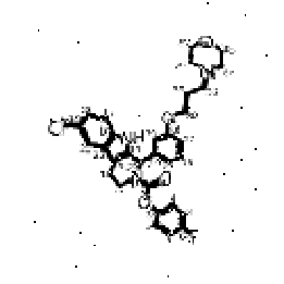 O=C(Oc1ccc(F)cc1)N1CCc2c([nH]c3ccc(Cl)cc23)C1c1cccc(OCCCN2CCOCC2)c1